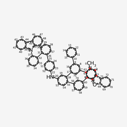 Cc1ccccc1-c1cc(-c2ccccc2)cc(-c2cc(Nc3ccc(-c4ccccc4-c4ccccc4-n4c5ccccc5c5ccccc54)cc3)ccc2-c2cccc(-c3cccc4c3oc3ccccc34)c2)c1